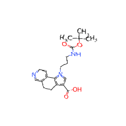 CC(C)(C)OC(=O)NCCCn1cc(C(=O)O)c2c1-c1ccncc1CC2